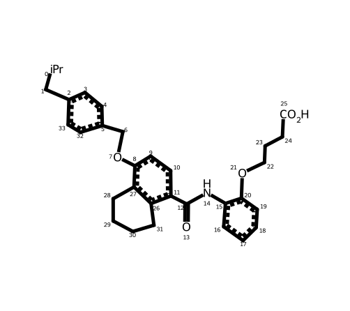 CC(C)Cc1ccc(COc2ccc(C(=O)Nc3ccccc3OCCCC(=O)O)c3c2CCCC3)cc1